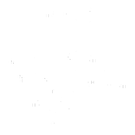 COCC(C)(C)c1c(CC(F)(F)C(=O)O)c2nc3[nH]ncc3cc2n1-c1ccc(F)c(OC)c1